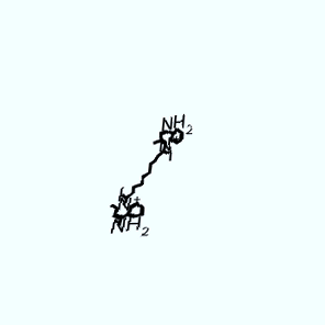 Cc1cc(N)c2ccccc2[n+]1C(I)CCCCCCCCC(I)[n+]1c(C)cc(N)c2ccccc21